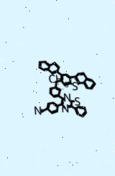 Cc1c(-c2cc3c(cc2Cc2cccc(-c4nc5sc6ccccc6c5nc4-c4ccc(C#N)cc4)c2)sc2c4ccccc4ccc32)ccc2ccccc12